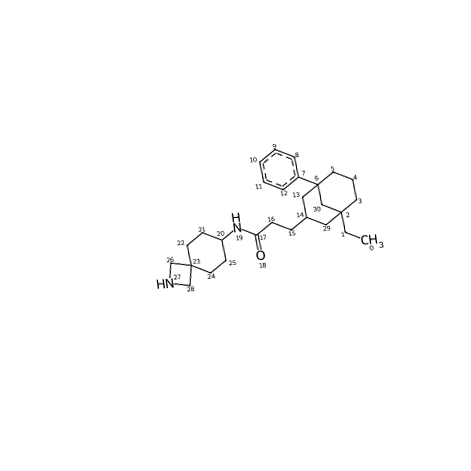 CCC12CCCC(c3ccccc3)(CC(CCC(=O)NC3CCC4(CC3)CNC4)C1)C2